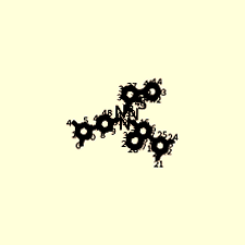 Cc1cc(C)cc(-c2ccc(-c3nc(-c4ccc(-c5cc(C)cc(C)c5)c5ccccc45)nc(-c4cccc5c4sc4ccccc45)n3)cc2)c1